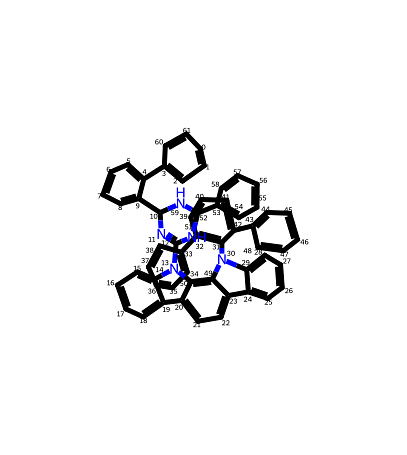 c1ccc(-c2ccccc2C2N=C(n3c4ccccc4c4ccc5c6ccccc6n(-c6c(-c7ccccc7)cccc6-c6ccccc6)c5c43)NC(c3ccccc3)N2)cc1